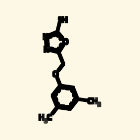 Cc1cc(C)cc(OCc2nnc(S)o2)c1